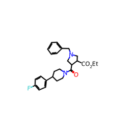 CCOC(=O)C1CN(Cc2ccccc2)CC1C(=O)N1CCC(c2ccc(F)cc2)CC1